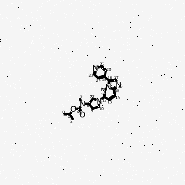 CC(C)OC(=O)N(C)C1CCN(c2ccc3ncc(-c4ccncc4)n3n2)C1